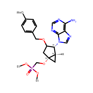 CCOP(=O)(CO[C@]12CC(OCc3ccc(OC)cc3)[C@H](n3cnc4c(N)ncnc43)[C@H]1C2)OCC